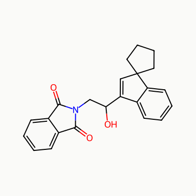 O=C1c2ccccc2C(=O)N1CC(O)C1=CC2(CCCC2)c2ccccc21